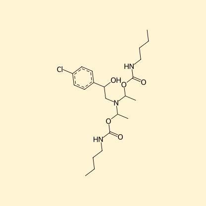 CCCCNC(=O)OC(C)N(CC(O)c1ccc(Cl)cc1)C(C)OC(=O)NCCCC